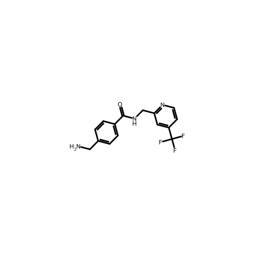 NCc1ccc(C(=O)NCc2cc(C(F)(F)F)ccn2)cc1